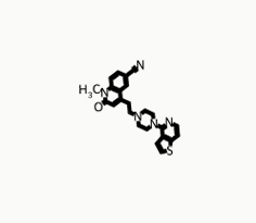 Cn1c(=O)cc(CCN2CCN(c3nccc4sccc34)CC2)c2cc(C#N)ccc21